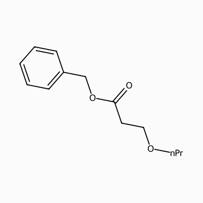 CCCOCCC(=O)OCc1ccccc1